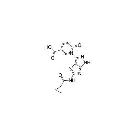 O=C(O)c1ccc(=O)n(-c2n[nH]c3nc(NC(=O)C4CC4)sc23)c1